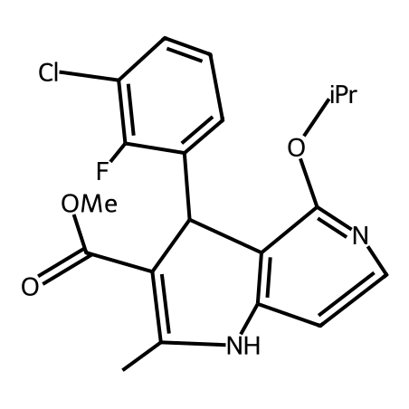 COC(=O)C1=C(C)Nc2ccnc(OC(C)C)c2C1c1cccc(Cl)c1F